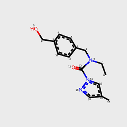 CCN(Cc1ccc(CO)cc1)C(=O)n1cc(C)cn1